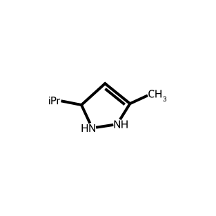 CC1=CC(C(C)C)NN1